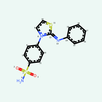 NS(=O)(=O)c1ccc(-n2ccsc2=Nc2ccccc2)cc1